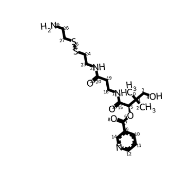 CC(C)(CO)[C@@H](OC(=O)c1cccnc1)C(=O)NCCC(=O)NCCSSCCN